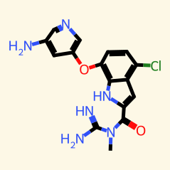 CN(C(=N)N)C(=O)c1cc2c(Cl)ccc(Oc3cncc(N)c3)c2[nH]1